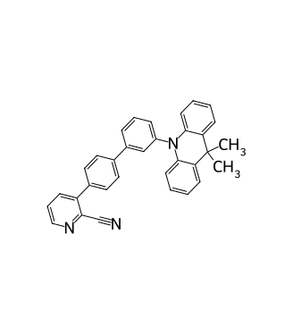 CC1(C)c2ccccc2N(c2cccc(-c3ccc(-c4cccnc4C#N)cc3)c2)c2ccccc21